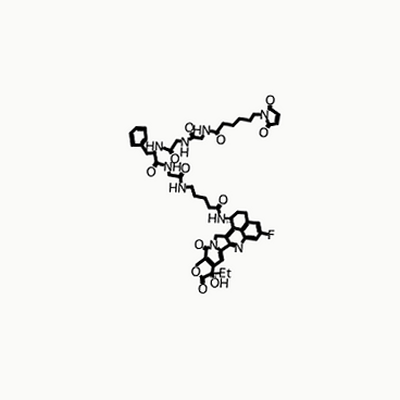 CC[C@@]1(O)C(=O)OCc2c1cc1n(c2=O)Cc2c-1nc1cc(F)cc3c1c2[C@@H](NC(=O)CCCCNC(=O)CNC(=O)C(Cc1ccccc1)NC(=O)CNC(=O)CNC(=O)CCCCCN1C(=O)C=CC1=O)CC3